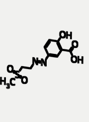 CS(=O)(=O)CC/N=N/c1ccc(O)c(C(=O)O)c1